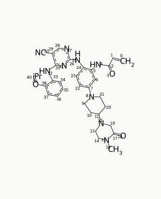 C=CC(=O)Nc1cc(N2CCC(N3CCN(C)C(=O)C3)CC2)ccc1Nc1ncc(C#N)c(Nc2ccccc2OC(C)C)n1